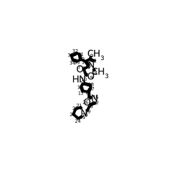 Cc1cn(C)c(C(=O)C(=O)Nc2ccc(-c3ncc(CN4CCCCC4)o3)cc2)c1-c1ccccc1